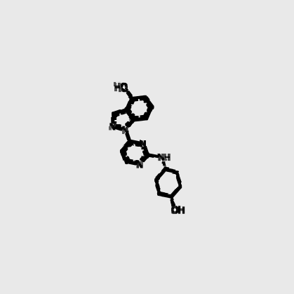 Oc1cccc2c1cnn2-c1ccnc(N[C@H]2CC[C@H](O)CC2)n1